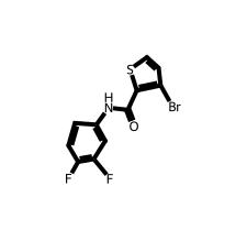 O=C(Nc1ccc(F)c(F)c1)c1sccc1Br